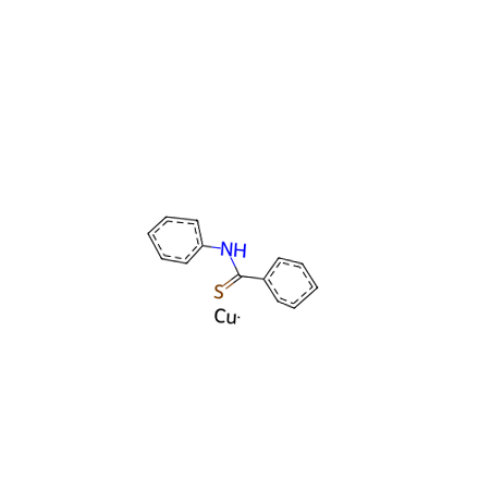 S=C(Nc1ccccc1)c1ccccc1.[Cu]